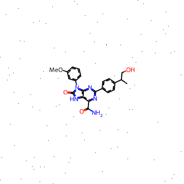 COc1cccc(-n2c(=O)[nH]c3c(C(N)=O)nc(-c4ccc(C(C)CO)cc4)nc32)c1